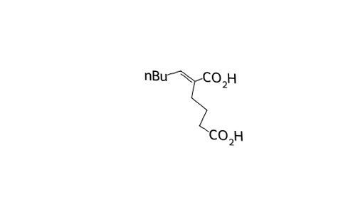 CCCCC=C(CCCC(=O)O)C(=O)O